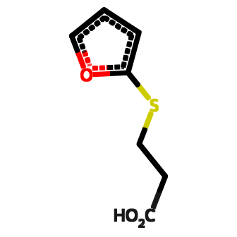 O=C(O)CCSc1ccco1